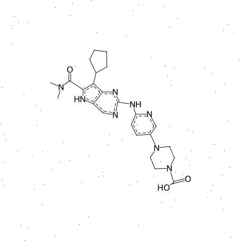 CN(C)C(=O)c1[nH]c2cnc(Nc3ccc(N4CCN(C(=O)O)CC4)cn3)nc2c1C1CCCC1